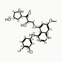 COc1cc(OCC(O)C(=O)[C@H]2C[C@H](O)CN2)c2c(Nc3ccc(F)c(Cl)c3)ncnc2c1